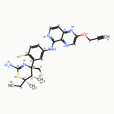 C#CCOc1cnc2c(Nc3ccc(F)c([C@@]4(CF)N=C(N)S[C@](C)(CC#N)[C@H]4C)c3)nccc2n1